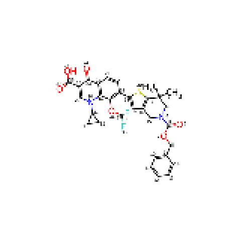 CC1(C)CN(C(=O)OCc2ccccc2)Cc2cc(-c3ccc4c(=O)c(C(=O)O)cn(C5CC5)c4c3OC(F)F)sc21